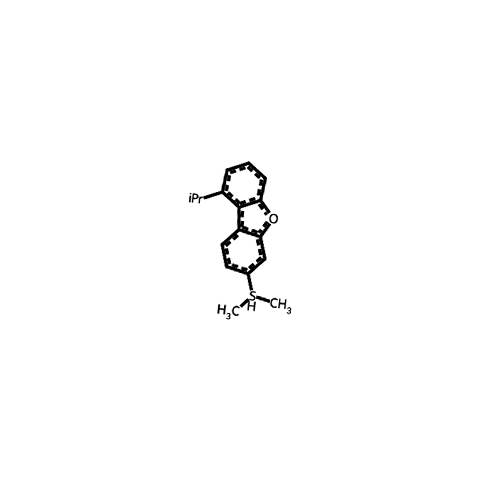 CC(C)c1cccc2oc3cc([SH](C)C)ccc3c12